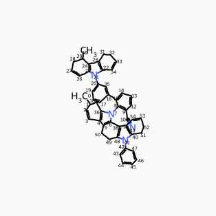 CC1C=Cc2c3c(n(-c4c(C#N)cccc4-c4cccc(-n5c6c(c7c5C=CCC7C)CCC=C6)c4)c2C1)-c1c2c(n(-c4ccccc4)c1CC3)CCC=C2